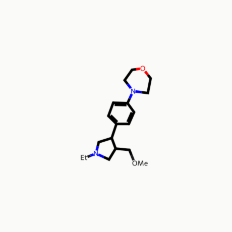 CCN1CC(COC)C(c2ccc(N3CCOCC3)cc2)C1